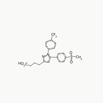 CS(=O)(=O)c1ccc(-c2cc(CCCC(=O)O)nn2-c2ccc(C(F)(F)F)cc2)cc1